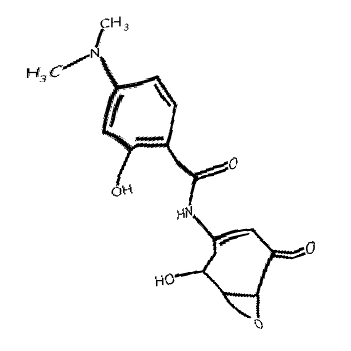 CN(C)c1ccc(C(=O)NC2=CC(=O)C3OC3C2O)c(O)c1